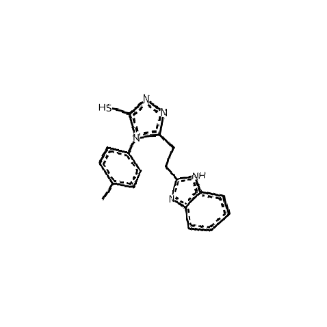 Cc1ccc(-n2c(S)nnc2CCc2nc3ccccc3[nH]2)cc1